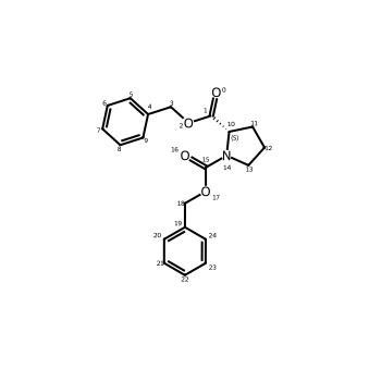 O=C(OCc1ccccc1)[C@@H]1CCCN1C(=O)OCc1ccccc1